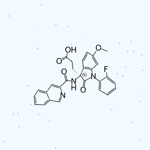 COc1ccc2c(c1)N(c1ccccc1F)C(=O)[C@@]2(CCC(=O)O)NC(=O)c1cc2ccccc2cn1